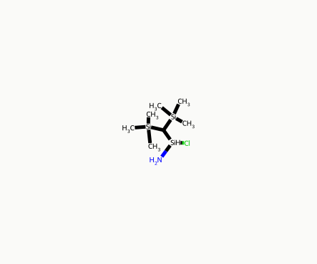 C[Si](C)(C)C([SiH](N)Cl)[Si](C)(C)C